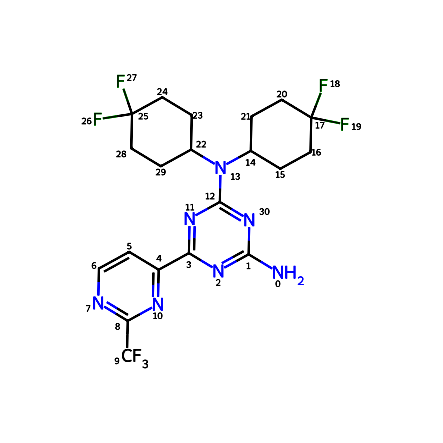 Nc1nc(-c2ccnc(C(F)(F)F)n2)nc(N(C2CCC(F)(F)CC2)C2CCC(F)(F)CC2)n1